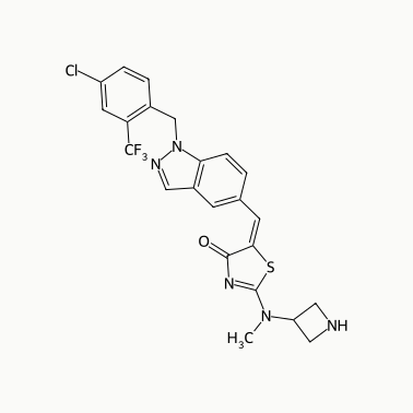 CN(C1=NC(=O)C(=Cc2ccc3c(cnn3Cc3ccc(Cl)cc3C(F)(F)F)c2)S1)C1CNC1